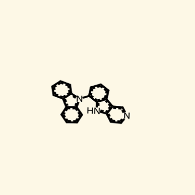 c1cc(-n2c3ccccc3c3ccccc32)c2[nH]c3ccncc3c2c1